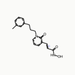 Cc1cccc(CCCn2cccc(/C=C/C(=O)NO)c2=O)c1